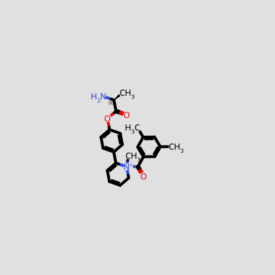 Cc1cc(C)cc(C(=O)[N+]2(C)CC=CC=C2c2ccc(OC(=O)[C@H](C)N)cc2)c1